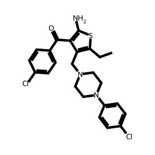 CCc1sc(N)c(C(=O)c2ccc(Cl)cc2)c1CN1CCN(c2ccc(Cl)cc2)CC1